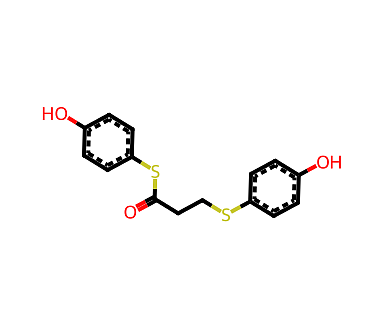 O=C(CCSc1ccc(O)cc1)Sc1ccc(O)cc1